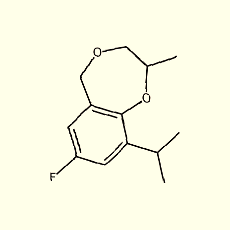 CC1COCc2cc(F)cc(C(C)C)c2O1